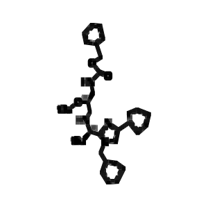 CC(C)(C)O[C@@H](CNC(=O)OCc1ccccc1)CN[C@@H](c1nc(-c2ccccc2)cn1Cc1ccccc1)C(C)(C)C